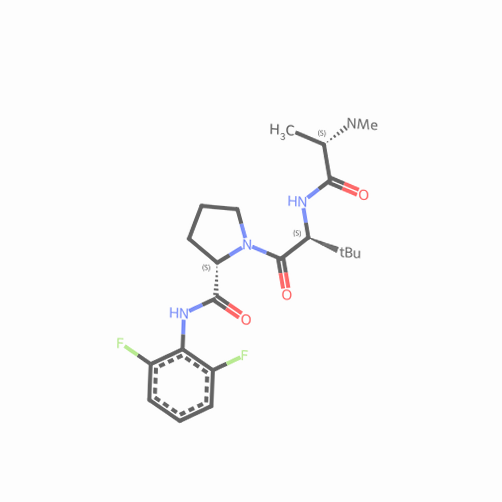 CN[C@@H](C)C(=O)N[C@H](C(=O)N1CCC[C@H]1C(=O)Nc1c(F)cccc1F)C(C)(C)C